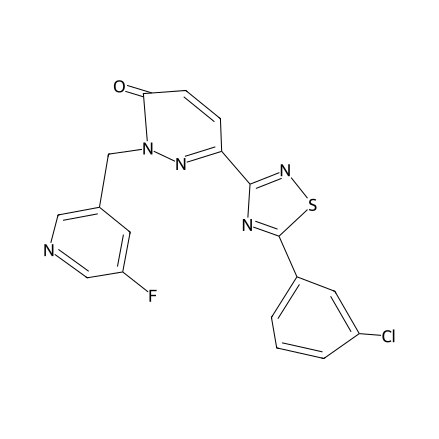 O=c1ccc(-c2nsc(-c3cccc(Cl)c3)n2)nn1Cc1cncc(F)c1